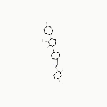 CCc1ccc(/C=C/c2ccc(-c3ccc(-c4ccc(C)cc4)c(F)c3F)cc2)c(F)c1